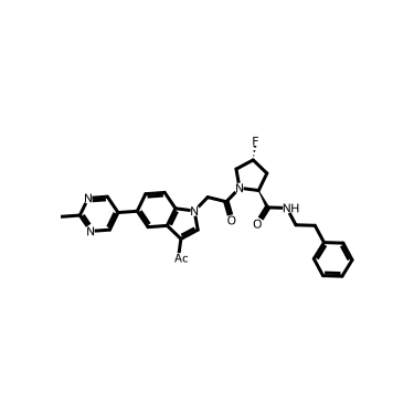 CC(=O)c1cn(CC(=O)N2C[C@H](F)C[C@H]2C(=O)NCCc2ccccc2)c2ccc(-c3cnc(C)nc3)cc12